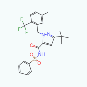 Cc1ccc(C(F)(F)F)c(Cn2nc(C(C)(C)C)cc2C(=O)NS(=O)(=O)c2ccccc2)c1